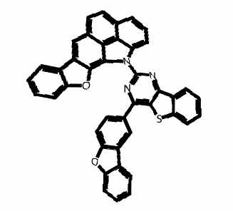 c1ccc2c(c1)oc1ccc(-c3nc(-n4c5cccc6ccc7cc8c9ccccc9oc8c4c7c65)nc4c3sc3ccccc34)cc12